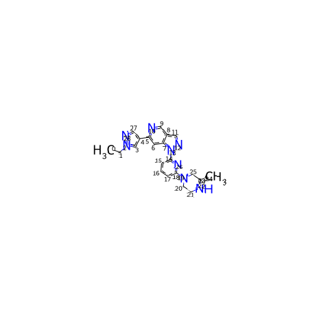 CCn1cc(-c2cc3c(cn2)cnn3-c2cccc(N3CCN[C@@H](C)C3)n2)cn1